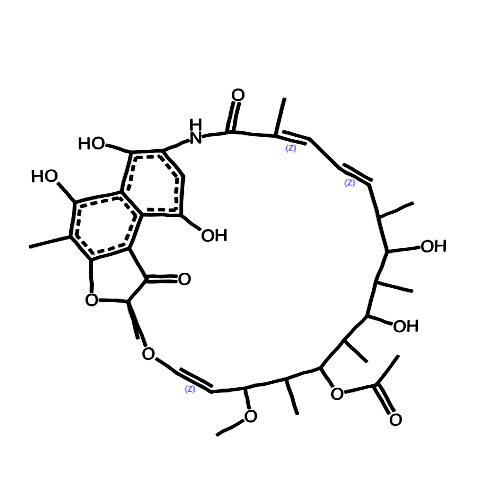 COC1/C=C\OC2(C)Oc3c(C)c(O)c4c(O)c(cc(O)c4c3C2=O)NC(=O)/C(C)=C\C=C/C(C)C(O)C(C)C(O)C(C)C(OC(C)=O)C1C